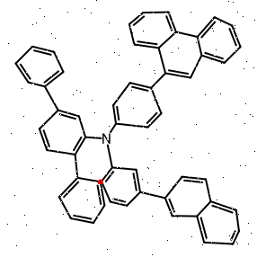 c1ccc(-c2ccc(-c3ccccc3)c(N(c3ccc(-c4cc5ccccc5c5ccccc45)cc3)c3cccc(-c4ccc5ccccc5c4)c3)c2)cc1